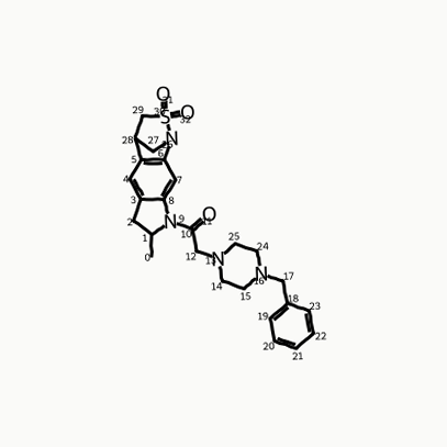 CC1Cc2cc3c(cc2N1C(=O)CN1CCN(Cc2ccccc2)CC1)N1CC3CS1(=O)=O